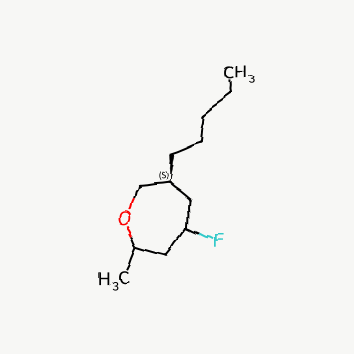 CCCCC[C@@H]1COC(C)CC(F)C1